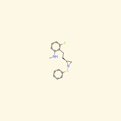 CNc1cccc(F)c1CC[C@H]1CN1Sc1ccccc1